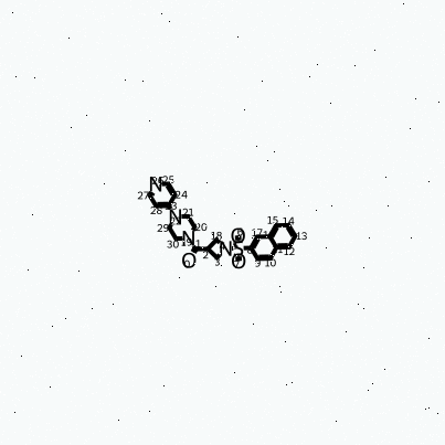 O=C(C1CN(S(=O)(=O)c2ccc3ccccc3c2)C1)N1CCN(c2ccncc2)CC1